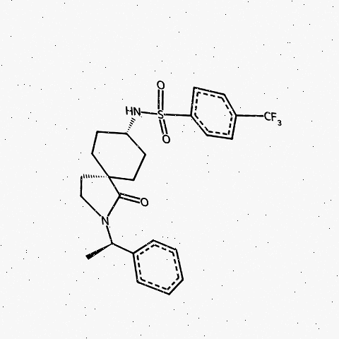 C[C@H](c1ccccc1)N1CC[C@]2(CC[C@@H](NS(=O)(=O)c3ccc(C(F)(F)F)cc3)CC2)C1=O